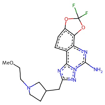 COCCN1CCC(Cc2nc3c4ccc5c(c4nc(N)n3n2)OC(F)(F)O5)C1